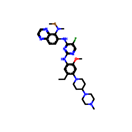 CCc1cc(Nc2ncc(F)c(Nc3ccc4nccnc4c3N(C)SC)n2)c(OC)cc1N1CCC(N2CCN(C)CC2)CC1